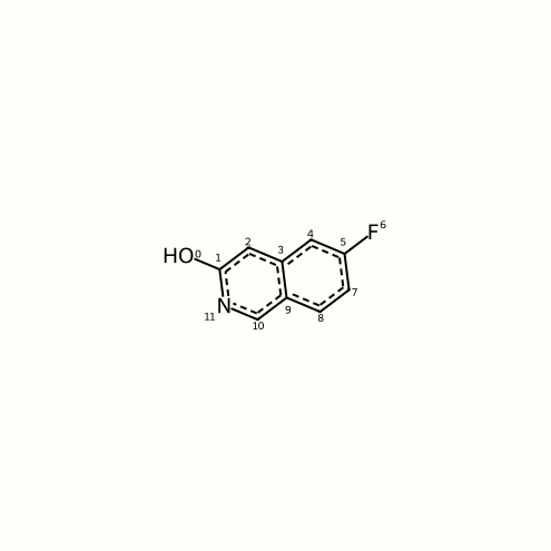 Oc1cc2cc(F)ccc2cn1